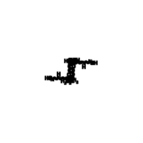 CCN(Cc1ccc(CN(CC)C(=O)C(C)(N)CCCCNCC=NO)cc1)C(=O)C(C)(N)CCCCNCC=NO